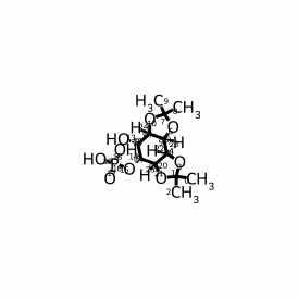 CC1(C)O[C@H]2[C@H]3OC(C)(C)O[C@H]3[C@@H](O)[C@@H](OP(=O)(O)O)[C@H]2O1